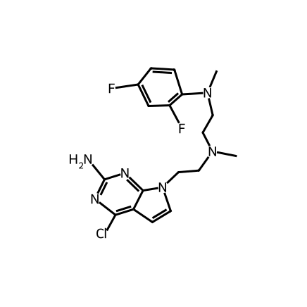 CN(CCN(C)c1ccc(F)cc1F)CCn1ccc2c(Cl)nc(N)nc21